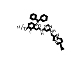 COc1ccc(N=C(c2ccccc2)c2ccccc2)c(CC(=O)Nc2cc(NCc3cn4cc(C5CC5)ccc4n3)ncn2)c1F